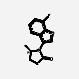 C[C@@H]1CSC(=O)N1c1coc2c(F)cccc12